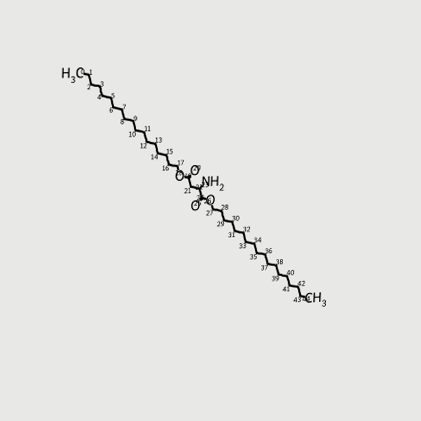 CCCCCCCCCCCCCCCCCCOC(=O)CC(N)C(=O)OCCCCCCCCCCCCCCCCCC